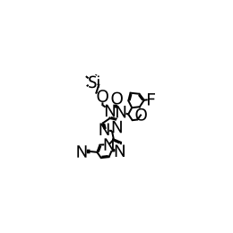 C[Si](C)(C)CCOCn1c(=O)n(C2CCOC3C(F)=CC=CC32)c2nc(-c3cnc4ccc(C#N)cn34)ncc21